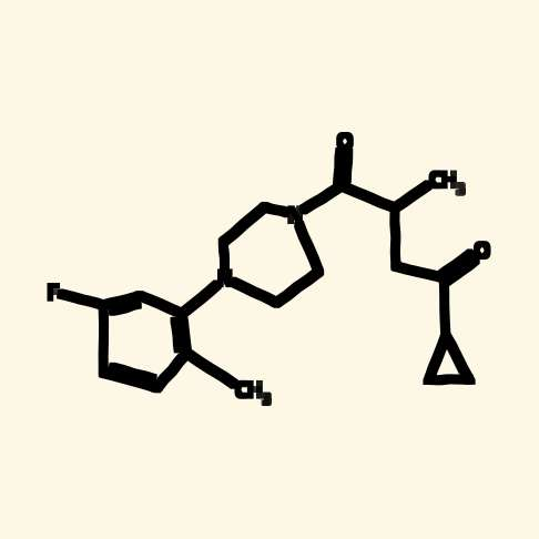 Cc1ccc(F)cc1N1CCN(C(=O)C(C)CC(=O)C2CC2)CC1